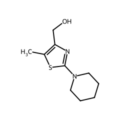 Cc1sc(N2CCCCC2)nc1CO